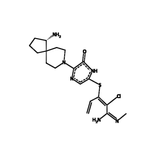 C=C/C(Sc1cnc(N2CCC3(CCC[C@@H]3N)CC2)c(=O)[nH]1)=C(Cl)\C(N)=N/C